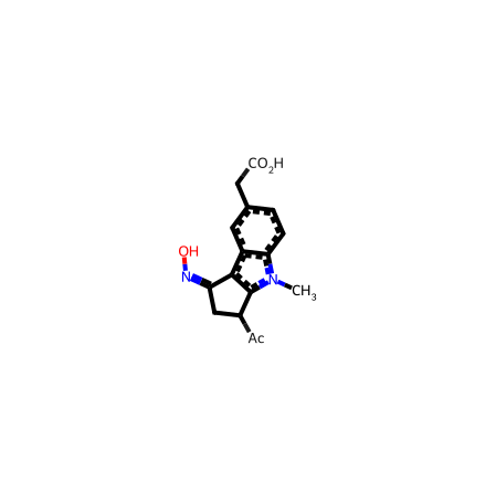 CC(=O)C1CC(=NO)c2c1n(C)c1ccc(CC(=O)O)cc21